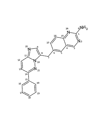 Nc1ncc2cc(Cc3cnc4ccc(-c5ccccc5)nn34)ccc2n1